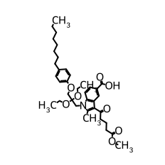 CCCCCCCCc1ccc(OCC(Cn2c(C)c(C(=O)CCCC(=O)OC)c3cc(C(=O)O)ccc32)(OCC)OCC)cc1